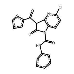 O=C(c1cccs1)C1C(=O)N(C(=O)Nc2ccccc2)c2ccc(Cl)nc21